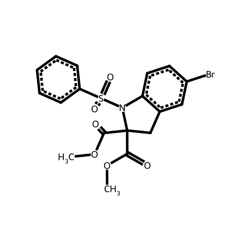 COC(=O)C1(C(=O)OC)Cc2cc(Br)ccc2N1S(=O)(=O)c1ccccc1